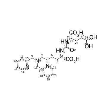 O=C(N[C@@H](CCCCN(Cc1ccccn1)Cc1ccccn1)C(=O)O)N[C@@H](CCC(O)O)C(=O)O